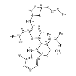 C[C@@H]1Cc2c([nH]c3c(F)cccc23)C(c2ccc(NC3CCN(CCCF)C3)c(OC(F)F)c2)N1C(F)C(F)F